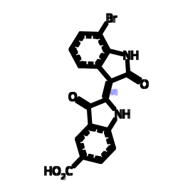 O=C1Nc2c(Br)cccc2/C1=C1/Nc2ccc(C(=O)O)cc2C1=O